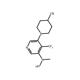 CCCN(C)c1cncc(N2CCC(C#N)CC2)c1C(F)(F)F